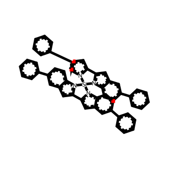 c1ccc(-c2ccc3c(c2)cc2n3[Si]3(n4c-2cc2cc(-c5ccccc5)ccc24)n2c(cc4cc(-c5ccccc5)ccc42)-c2cc4cc(-c5ccccc5)ccc4n23)cc1